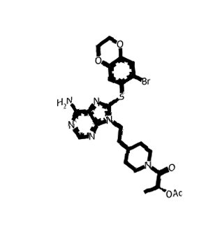 CC(=O)O[C@@H](C)C(=O)N1CCC(CCn2c(Sc3cc4c(cc3Br)OCCO4)nc3c(N)ncnc32)CC1